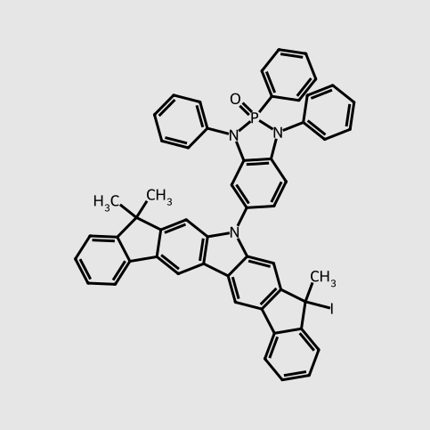 CC1(C)c2ccccc2-c2cc3c4cc5c(cc4n(-c4ccc6c(c4)N(c4ccccc4)P(=O)(c4ccccc4)N6c4ccccc4)c3cc21)C(C)(I)c1ccccc1-5